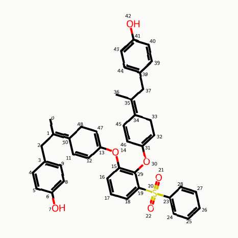 CC(Cc1ccc(O)cc1)=C1C=CC(Oc2cccc(S(=O)(=O)c3ccccc3)c2OC2=CCC(=C(C)Cc3ccc(O)cc3)C=C2)=CC1